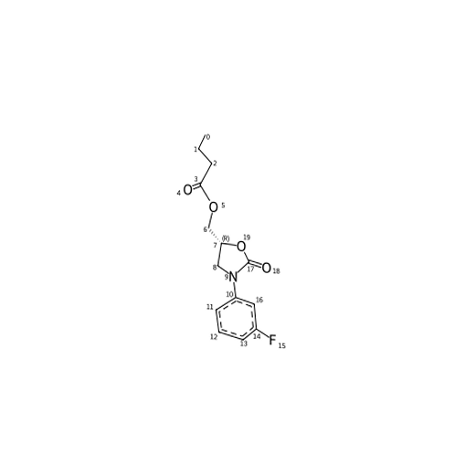 CCCC(=O)OC[C@H]1CN(c2cccc(F)c2)C(=O)O1